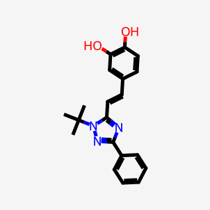 CC(C)(C)n1nc(-c2ccccc2)nc1/C=C/c1ccc(O)c(O)c1